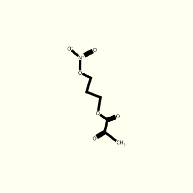 CC(=O)C(=O)OCCCO[N+](=O)[O-]